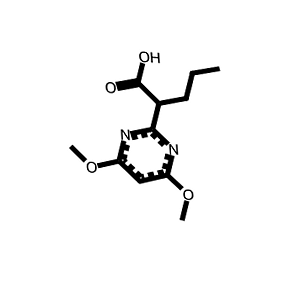 CCCC(C(=O)O)c1nc(OC)cc(OC)n1